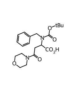 CC(C)(C)OC(=O)N(Cc1ccccc1)C(CC(=O)N1CCOCC1)C(=O)O